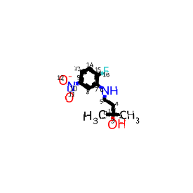 CC(C)(O)CCNc1cc([N+](=O)[O-])ccc1F